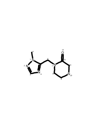 Cn1ncnc1CN1CC[N]CC1=O